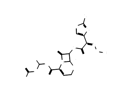 CO/N=C(\C(=O)NC1C(=O)N2C(C(=O)OC(C)OC(C)=O)=CCS[C@H]12)c1csc(N)n1